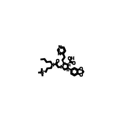 CCCCN(CCC[N+](C)(C)C)C(=O)CN1C[C@H](c2ccc3c(c2)OCO3)[C@@H](C(=O)O)[C@@H]1CCc1ccncn1